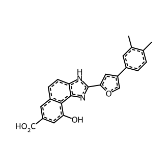 Cc1ccc(-c2coc(-c3nc4c(ccc5cc(C(=O)O)cc(O)c54)[nH]3)c2)cc1C